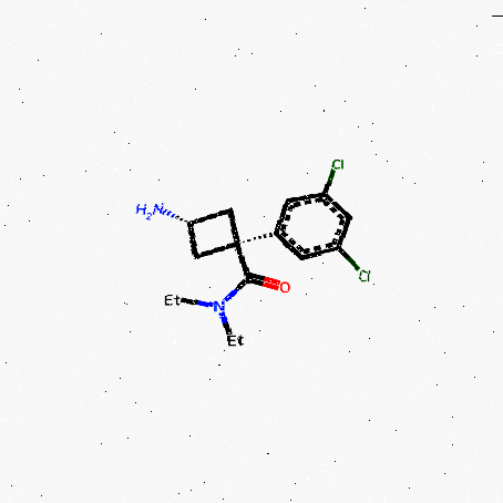 CCN(CC)C(=O)[C@]1(c2cc(Cl)cc(Cl)c2)C[C@@H](N)C1